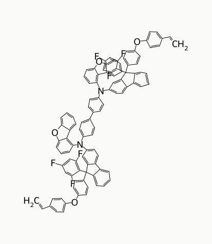 C=Cc1ccc(Oc2ccc(C3(c4c(F)cc(F)cc4F)c4ccccc4-c4ccc(N(c5ccc(-c6ccc(N(c7ccc8c(c7)C(c7ccc(Oc9ccc(C=C)cc9)cc7)(c7c(F)cc(F)cc7F)c7ccccc7-8)c7cccc8oc9ccccc9c78)cc6)cc5)c5cccc6oc7ccccc7c56)cc43)cc2)cc1